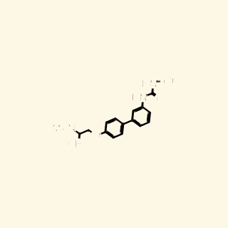 CCCNC(=O)Nc1cccc(-c2ccc(OCC(NC)C(=O)O)cc2)c1